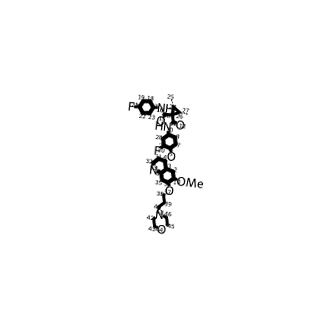 COc1cc2c(Oc3ccc(NC(=O)C4(C(=O)Nc5ccc(F)cc5)[C@H](C)[C@@H]4C)cc3F)ccnc2cc1OCCCN1CCOCC1